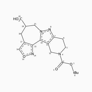 CC(C)(C)OC(=O)N1CCc2nn3c(c2C1)-c1nocc1CC(C(=O)O)C3